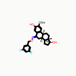 COc1cc2c(cc1O)C(=NOCc1cc(F)cc(F)c1)C[C@@H]1[C@@H]2CC[C@]2(C)[C@@H](O)CC[C@@H]12